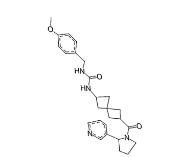 COc1ccc(CNC(=O)NC2CC3(C2)CC(C(=O)N2CCCC2c2cccnc2)C3)cc1